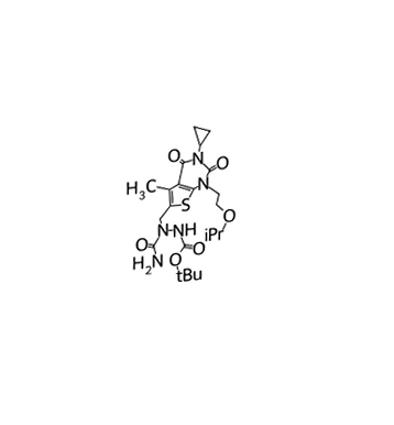 Cc1c(CN(NC(=O)OC(C)(C)C)C(N)=O)sc2c1c(=O)n(C1CC1)c(=O)n2CCOC(C)C